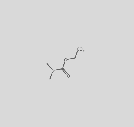 CN(C)C(=O)OCC(=O)O